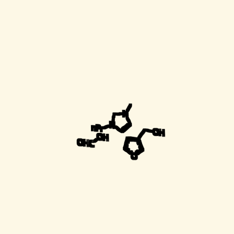 CCCN1C=CN(C)C1.O=CO.OCc1ccoc1